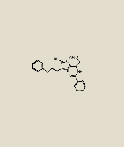 COCC(NC(=O)c1cccc(C)n1)C1=N[C@@H](CCOc2ccccc2)B(O)O1